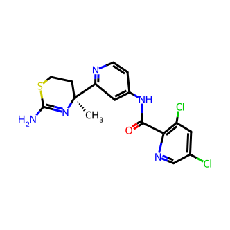 C[C@@]1(c2cc(NC(=O)c3ncc(Cl)cc3Cl)ccn2)CCSC(N)=N1